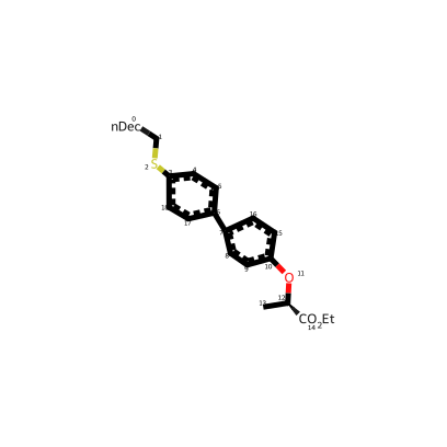 CCCCCCCCCCCSc1ccc(-c2ccc(O[C@H](C)C(=O)OCC)cc2)cc1